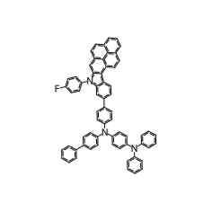 Fc1ccc(-n2c3cc(-c4ccc(N(c5ccc(-c6ccccc6)cc5)c5ccc(N(c6ccccc6)c6ccccc6)cc5)cc4)ccc3c3c4ccc5cccc6ccc(cc32)c4c65)cc1